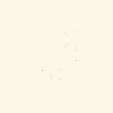 COC(=O)c1ccc(OC)c(S(=O)(=O)Nc2cc(C(F)(F)F)cc(F)c2N2CCCCC2)c1